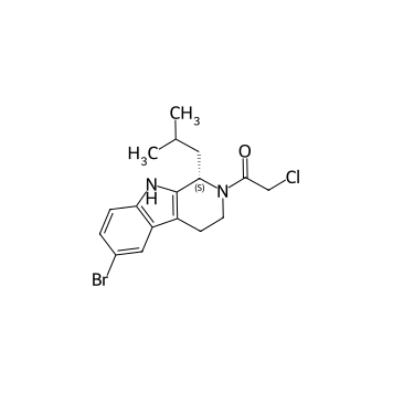 CC(C)C[C@H]1c2[nH]c3ccc(Br)cc3c2CCN1C(=O)CCl